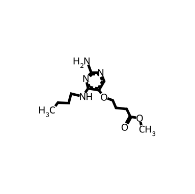 CCCCNc1nc(N)ncc1OCCCC(=O)OC